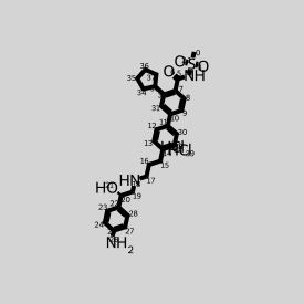 CS(=O)(=O)NC(=O)c1ccc(-c2ccc(CCCNC[C@H](O)c3ccc(N)cc3)cc2)cc1C1CCCC1.Cl.Cl